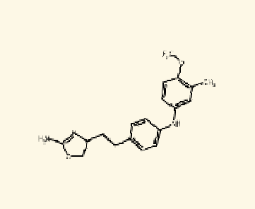 Cc1cc(Nc2ccc(CCC3COC(N)=N3)cc2)ccc1OC(F)(F)F